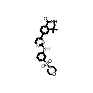 CC1(C)CNC(=O)c2ccc(-c3ccnc(Nc4cccc(S(=O)(=O)N5CCOCC5)c4)n3)cc21